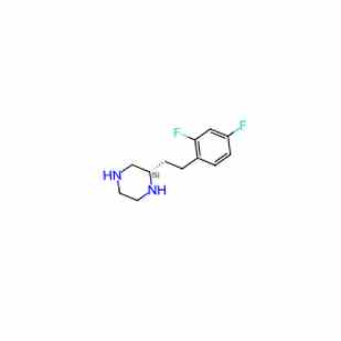 Fc1ccc(CC[C@H]2CNCCN2)c(F)c1